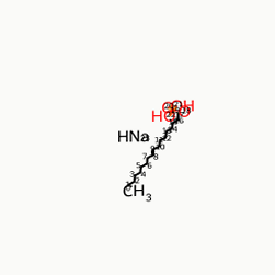 CCCCCCCCC=CCCCCCCCC(=O)P(=O)(O)O.[NaH]